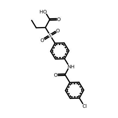 CCC(C(=O)O)S(=O)(=O)c1ccc(NC(=O)c2ccc(Cl)cc2)cc1